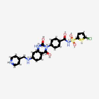 O=C(NS(=O)(=O)c1ccc(Cl)s1)c1ccc(-n2c(=O)[nH]c3cc(NCc4ccncc4)ccc3c2=O)cc1